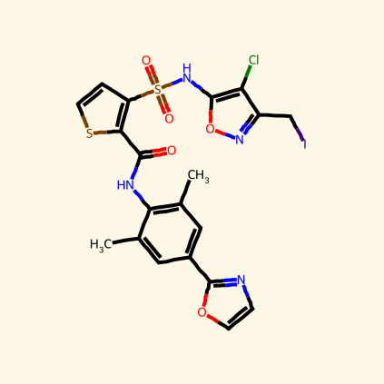 Cc1cc(-c2ncco2)cc(C)c1NC(=O)c1sccc1S(=O)(=O)Nc1onc(CI)c1Cl